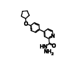 NNC(=O)c1cc(-c2ccc(OC3CCCC3)cc2)ccn1